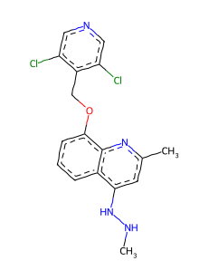 CNNc1cc(C)nc2c(OCc3c(Cl)cncc3Cl)cccc12